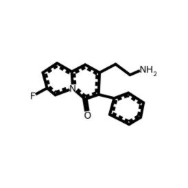 NCCc1cc2ccc(F)cn2c(=O)c1-c1ccccc1